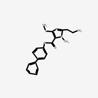 CCCc1nc(SC)c(C(=O)Oc2ccc(-c3ccccc3)cc2)n1C